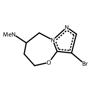 CNC1CCOc2c(Br)cnn2C1